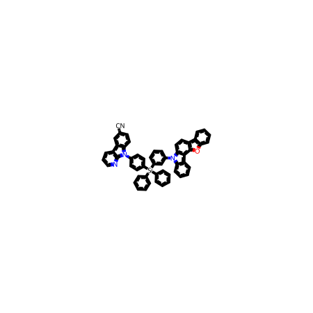 N#Cc1ccc2c(c1)c1cccnc1n2-c1ccc([Si](c2ccccc2)(c2ccccc2)c2cccc(-n3c4ccccc4c4c5oc6ccccc6c5ccc43)c2)cc1